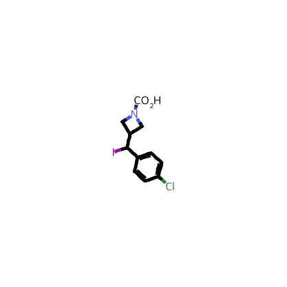 O=C(O)N1CC(C(I)c2ccc(Cl)cc2)C1